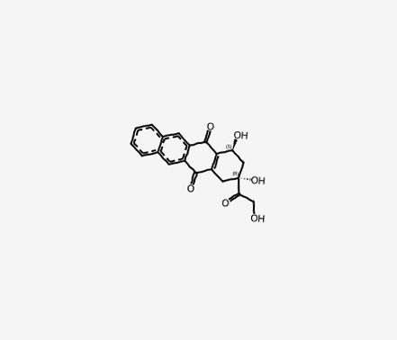 O=C1C2=C(C(=O)c3cc4ccccc4cc31)[C@@H](O)C[C@@](O)(C(=O)CO)C2